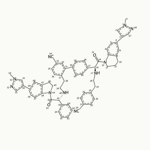 Cn1cc(-c2ccc3c(c2)CCCN3C(=O)[C@@H](NCCc2ccc(C#N)cc2)c2ccc(-c3cc(C#N)ccc3CCN[C@@H](C(=O)N3CCc4cc(-c5cnn(C)c5)ccc43)c3ccccc3)cc2)cn1